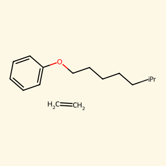 C=C.CC(C)CCCCCOc1ccccc1